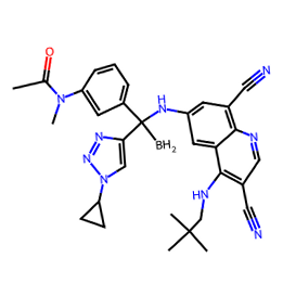 BC(Nc1cc(C#N)c2ncc(C#N)c(NCC(C)(C)C)c2c1)(c1cccc(N(C)C(C)=O)c1)c1cn(C2CC2)nn1